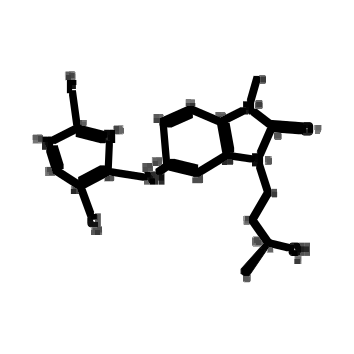 C[C@H](O)CCn1c(=O)n(C)c2ccc(Nc3nc(F)ncc3Cl)cc21